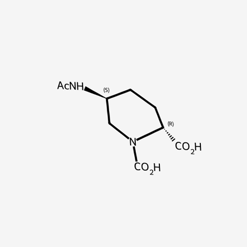 CC(=O)N[C@H]1CC[C@H](C(=O)O)N(C(=O)O)C1